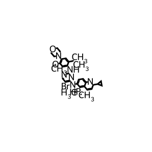 COc1cc(Nc2ncc(Br)c(Nc3ccc4nc(C5CC5)ccc4c3P(C)C)n2)c(C(C)C)cc1N1CCOCC1